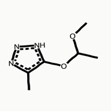 COC(C)Oc1[nH]nnc1C